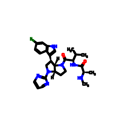 CN[C@@H](C)C(=O)N[C@H](C(=O)N1CC[C@@H]2[C@H]1[C@@H](c1c[nH]c3cc(F)ccc13)CN2c1ncccn1)C(C)C